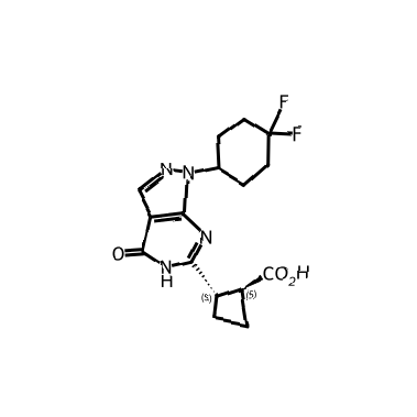 O=C(O)[C@H]1CC[C@@H]1c1nc2c(cnn2C2CCC(F)(F)CC2)c(=O)[nH]1